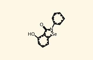 O=c1c2c(O)cccc2[se]n1-c1ccccc1